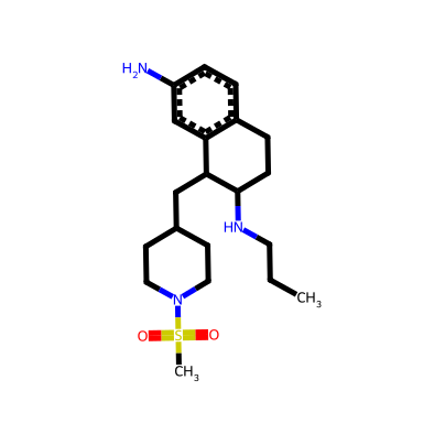 CCCNC1CCc2ccc(N)cc2C1CC1CCN(S(C)(=O)=O)CC1